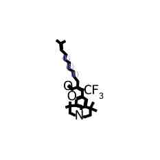 CC(C)=C/C=C/C=C/C=C/Cc1c(C(F)(F)F)c2cc3c4c(c2oc1=O)C(C)(C)CCN4CCC3(C)C